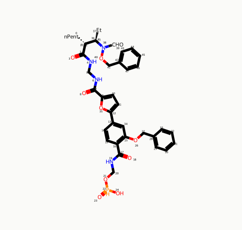 CCCCC[C@@H](C(=O)NCNC(=O)c1ccc(-c2ccc(C(=O)NCO[PH](=O)O)c(OCc3ccccc3)c2)o1)[C@@H](CC)N(C=O)OCc1ccccc1